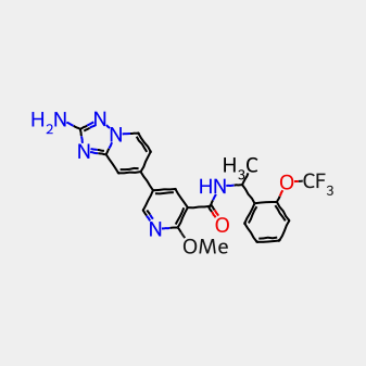 COc1ncc(-c2ccn3nc(N)nc3c2)cc1C(=O)NC(C)c1ccccc1OC(F)(F)F